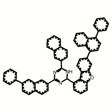 c1ccc(-c2ccc3ccc(C4=NC(c5cccc6oc7cc(-c8ccc(-c9ccccc9)c9ccccc89)ccc7c56)NC(c5ccc6ccccc6c5)=N4)cc3c2)cc1